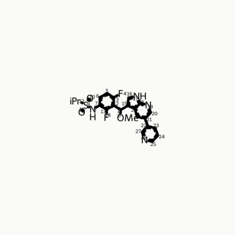 COC(c1c(F)ccc(NS(=O)(=O)C(C)C)c1F)c1c[nH]c2ncc(-c3cccnc3)cc12